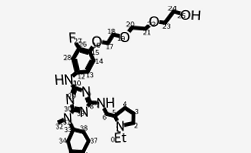 CCN1CCCC1CNc1nc(Nc2ccc(OCCOCCOCCO)c(F)c2)nc(N(C)C2CCCCC2)n1